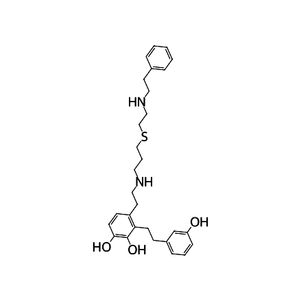 Oc1cccc(CCc2c(CCNCCCSCCNCCc3ccccc3)ccc(O)c2O)c1